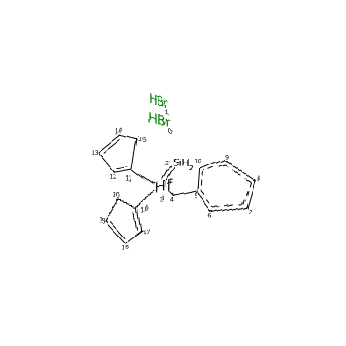 Br.Br.[SiH2]=[Hf]([CH2]c1ccccc1)([C]1=CC=CC1)[C]1=CC=CC1